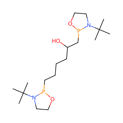 CC(C)(C)N1CCOP1CCCCC(O)CP1OCCN1C(C)(C)C